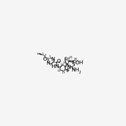 C#CCOc1cnc(C(=O)Nc2ccc(F)c([C@@]3(CF)N=C(N)S[C@](C)(CO)[C@H]3C)c2)cn1